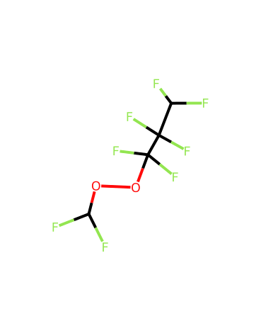 FC(F)OOC(F)(F)C(F)(F)C(F)F